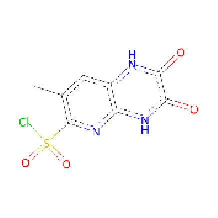 Cc1cc2[nH]c(=O)c(=O)[nH]c2nc1S(=O)(=O)Cl